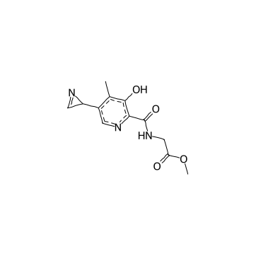 COC(=O)CNC(=O)c1ncc(C2C=N2)c(C)c1O